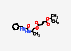 CC(C)OC(=O)/C=C/C(=O)OC[C@@H](C)NC(=O)NCc1ccccc1